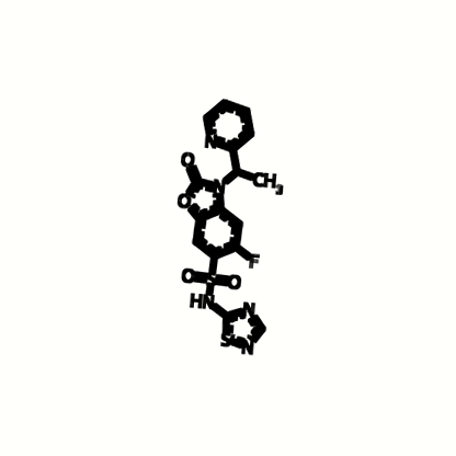 CC(c1ccccn1)n1c(=O)oc2cc(S(=O)(=O)Nc3ncns3)c(F)cc21